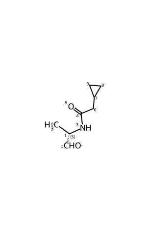 C[C@@H]([C]=O)NC(=O)CC1CC1